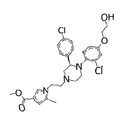 COC(=O)c1cc(C)n(CCN2CCN(c3ccc(OCCO)cc3Cl)[C@H](c3ccc(Cl)cc3)C2)c1